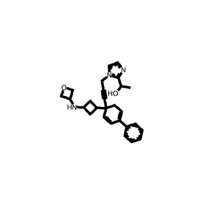 CC(O)c1nccn1CC#CC1(C2CC(NC3COC3)C2)C=CC(c2ccccc2)=CC1